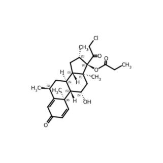 CCC(=O)O[C@]1(C(=O)CCl)[C@@H](C)C[C@H]2[C@@H]3C[C@H](C)C4=CC(=O)C=C[C@]4(C)[C@H]3[C@@H](O)C[C@@]21C